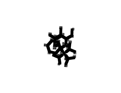 CCC(NC1([Si](C(C)C)(C(C)C)C(C)C)CCCCC1)C(C)=C(C)[SiH3]